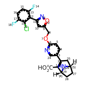 O=C(O)C1=C(c2ccc(OCc3cc(-c4c(F)ccc(F)c4Cl)no3)nc2)C[C@@H]2CC[C@H]1N2